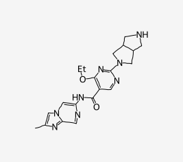 CCOc1nc(N2CC3CNCC3C2)ncc1C(=O)Nc1cn2cc(C)nc2cn1